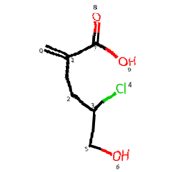 C=C(CC(Cl)CO)C(=O)O